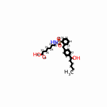 CCCCCC(O)c1ccc(Cc2ccccc2S(=O)(=O)NCCCCCCC(=O)O)cc1